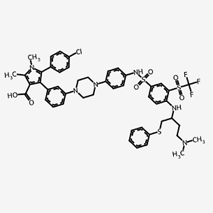 Cc1c(C(=O)O)c(-c2cccc(N3CCN(c4ccc(NS(=O)(=O)c5ccc(NC(CCN(C)C)CSc6ccccc6)c(S(=O)(=O)C(F)(F)F)c5)cc4)CC3)c2)c(-c2ccc(Cl)cc2)n1C